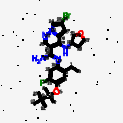 CCc1cc(O[Si](C)(C)C(C)(C)C)c(F)cc1N=C(N)c1cnn2cc(Br)cc2c1N[C@@H]1CCOC1